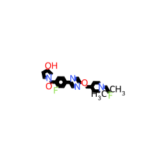 CC(C)(F)CN1CCC(COc2cnc(-c3ccc(C(=O)N4CCC(O)C4)c(F)c3)cn2)CC1